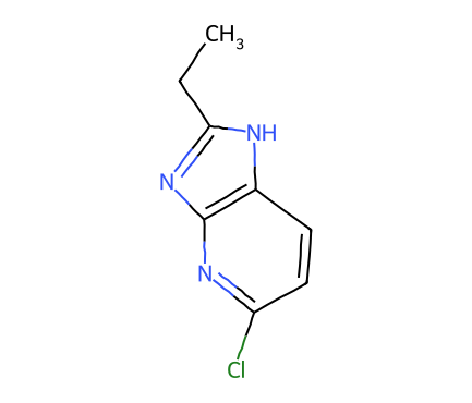 CCc1nc2nc(Cl)ccc2[nH]1